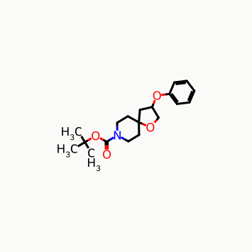 CC(C)(C)OC(=O)N1CCC2(CC1)CC(Oc1ccccc1)CO2